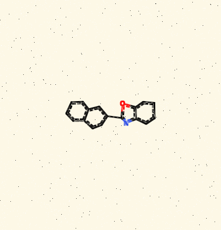 c1ccc2cc(-c3nc4ccccc4o3)ccc2c1